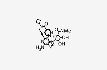 CNC(=O)[C@H]1O[C@@H](n2cnc3c(N)nc(C#CCN(C(=O)c4ccnnc4)C4CCC4)nc32)C(O)[C@@H]1O